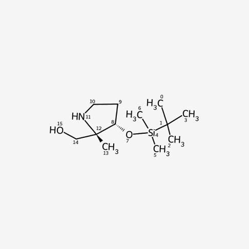 CC(C)(C)[Si](C)(C)O[C@H]1CCN[C@@]1(C)CO